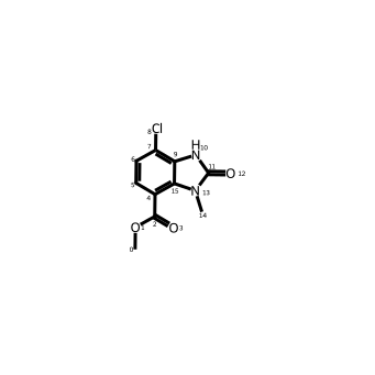 COC(=O)c1ccc(Cl)c2[nH]c(=O)n(C)c12